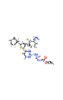 COC(=O)NCCNc1nccc(-c2sc(-c3ccccc3)nc2-c2cccc(N)c2F)n1